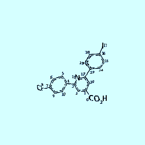 O=C(O)c1cc(-c2ccc(Cl)cc2)nc(-c2ccc(I)cc2)c1